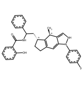 C[C@H]1C2=CNN(c3ccc(F)cc3)C2=CC2=C1[C@@H](CC(NC(=O)c1ccccc1O)c1ccccc1)CC2